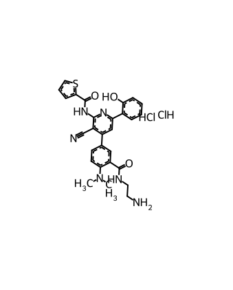 CN(C)c1ccc(-c2cc(-c3ccccc3O)nc(NC(=O)c3cccs3)c2C#N)cc1C(=O)NCCN.Cl.Cl